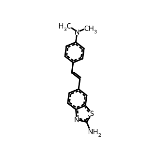 CN(C)c1ccc(/C=C/c2ccc3nc(N)sc3c2)cc1